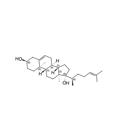 CC(C)=CCC[C@@H](C)[C@]1(O)CC[C@H]2[C@@H]3CC=C4C[C@H](O)CC[C@]4(C)[C@H]3CC[C@@]21C